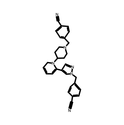 N#Cc1ccc(CN2CCC(N3CC=CC=C3c3cnn(Cc4ccc(C#N)cc4)c3)CC2)cc1